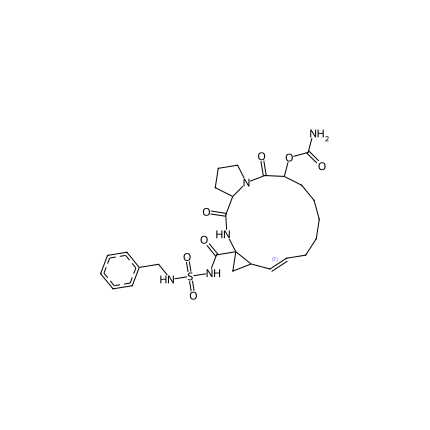 NC(=O)OC1CCCCC/C=C/C2CC2(C(=O)NS(=O)(=O)NCc2ccccc2)NC(=O)C2CCCN2C1=O